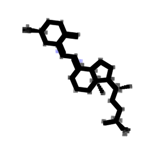 C=C1CC[C@H](O)C/C1=C/C=C1\CCC[C@@]2(C)C1CCC2[C@H](C)CC[C@H](C)C(C)C